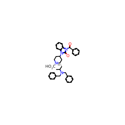 CC(C[C@H]1CC(n2c(=O)n(C(=O)c3ccccc3)c3ccccc32)CCN1C(=O)O)N(Cc1ccccc1)Cc1ccccc1